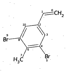 C=Cc1cc(Br)c(C)c(Br)c1